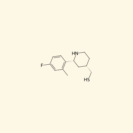 Cc1cc(F)ccc1[C@H]1C[C@@H](CS)CCN1